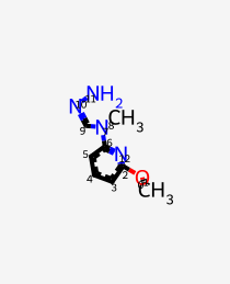 COc1cccc(N(C)/C=N\N)n1